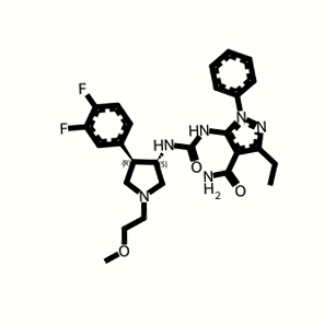 CCc1nn(-c2ccccc2)c(NC(=O)N[C@@H]2CN(CCOC)C[C@H]2c2ccc(F)c(F)c2)c1C(N)=O